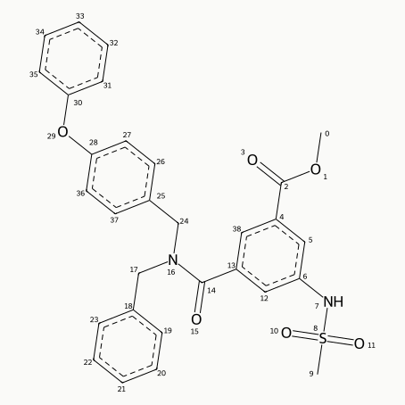 COC(=O)c1cc(NS(C)(=O)=O)cc(C(=O)N(Cc2ccccc2)Cc2ccc(Oc3ccccc3)cc2)c1